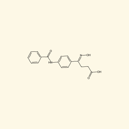 O=C(O)CCC(=NO)c1ccc(NC(=O)c2ccccc2)cc1